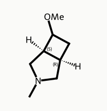 COC1C[C@H]2CN(C)C[C@@H]12